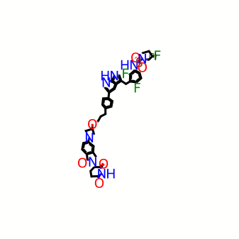 O=C1CCC(N2Cc3cc(N4CC(OCCCc5ccc(-c6cnc7[nH]cc(Cc8c(F)ccc(NS(=O)(=O)N9CC[C@@H](F)C9)c8F)c7c6)cc5)C4)ccc3C2=O)C(=O)N1